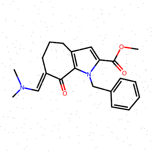 COC(=O)c1cc2c(n1Cc1ccccc1)C(=O)/C(=C/N(C)C)CCC2